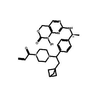 C=CC(=O)N1CCN(C(CC23CC(C2)C3)c2ccc([C@H](C)Nc3ncc4c(n3)N(C(C)C)C(=O)OC4)cc2)CC1